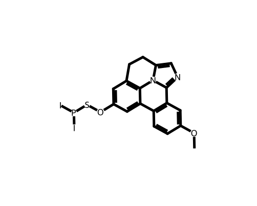 COc1ccc2c(c1)c1ncc3n1c1c(cc(OSP(I)I)cc21)CC3